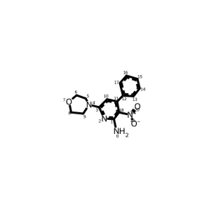 Nc1nc(N2CCOCC2)cc(-c2ccccc2)c1[N+](=O)[O-]